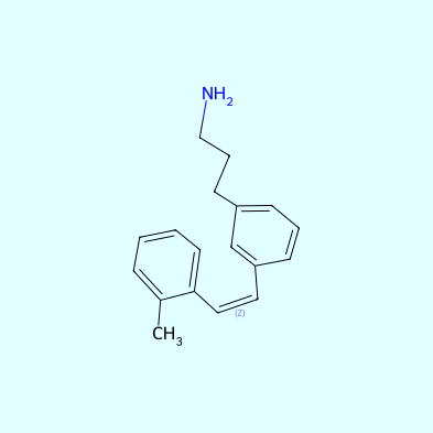 Cc1ccccc1/C=C\c1cccc(CCCN)c1